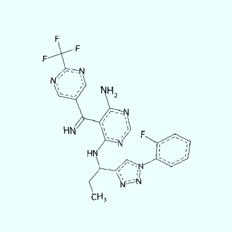 CCC(Nc1ncnc(N)c1C(=N)c1cnc(C(F)(F)F)nc1)c1cn(-c2ccccc2F)nn1